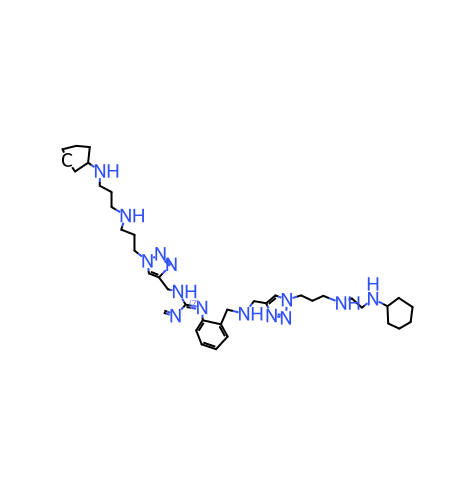 C=N/C(=N\c1ccccc1CNCc1cn(CCCNCCNC2CCCCC2)nn1)NCc1cn(CCCNCCCNC2CCCCC2)nn1